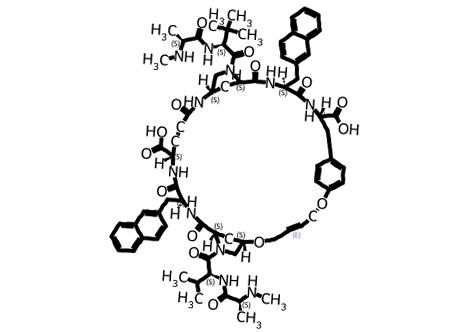 CN[C@@H](C)C(=O)N[C@H](C(=O)N1C[C@@H]2C[C@H]1C(=O)N[C@@H](Cc1ccc3ccccc3c1)C(=O)N[C@H](C(=O)O)CCC(=O)N[C@H]1C[C@@H](C(=O)N[C@@H](Cc3ccc4ccccc4c3)C(=O)N[C@H](C(=O)O)Cc3ccc(cc3)OC/C=C/CO2)N(C(=O)[C@@H](NC(=O)[C@H](C)NC)C(C)(C)C)C1)C(C)C